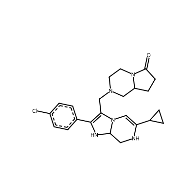 O=C1CCC2CN(CC3=C(c4ccc(Cl)cc4)NC4CNC(C5CC5)=CN34)CCN12